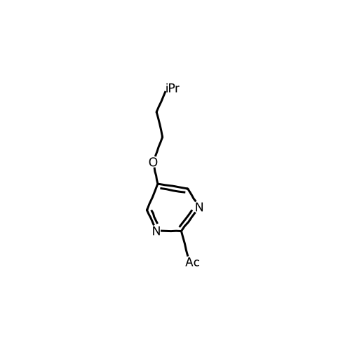 CC(=O)c1ncc(OCCC(C)C)cn1